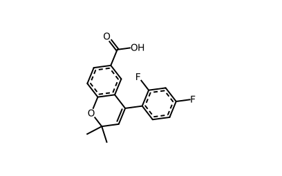 CC1(C)C=C(c2ccc(F)cc2F)c2cc(C(=O)O)ccc2O1